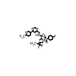 C[C@H]1C(F)(F)[C@@]12C[C@@H](C(=O)NCc1cc(-c3ccc(C(F)(F)F)nc3)ncn1)N(S(=O)(=O)c1ccc(F)cc1)C2